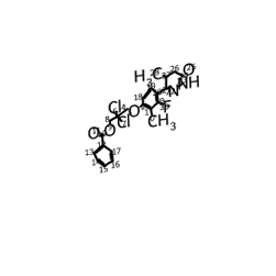 Cc1c(OCC(Cl)(Cl)COC(=O)c2ccccc2)ccc(C2=NNC(=O)CC2C)c1F